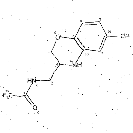 O=C(NCC1COc2ccc(Cl)cc2N1)C(F)(F)F